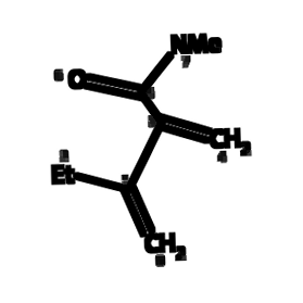 C=C(CC)C(=C)C(=O)NC